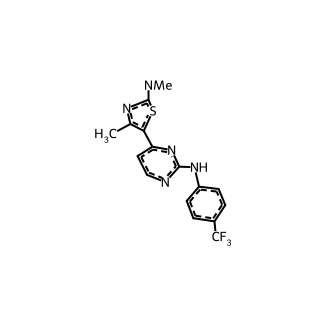 CNc1nc(C)c(-c2ccnc(Nc3ccc(C(F)(F)F)cc3)n2)s1